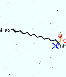 CCCCCCC=CCCCCCCCCCCCC(CCC)(P(=O)=O)[N+](C)(C)C